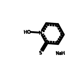 On1ccccc1=S.[NaH]